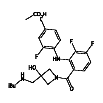 CC(=O)O.CCC(C)NCC1(O)CN(C(=O)c2ccc(F)c(F)c2Nc2ccc(I)cc2F)C1